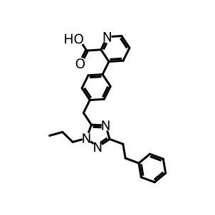 CCCn1nc(CCc2ccccc2)nc1Cc1ccc(-c2cccnc2C(=O)O)cc1